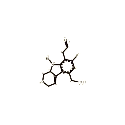 C=CCc1c(F)cc(CC(=O)O)c2c1N(CC)C1COCC=C21